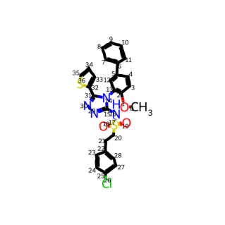 COc1ccc(-c2ccccc2)cc1-n1c(NS(=O)(=O)CCc2ccc(Cl)cc2)nnc1-c1cccs1